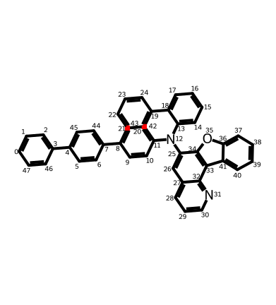 c1ccc(-c2ccc(-c3ccc(N(c4ccccc4-c4ccccc4)c4cc5cccnc5c5c4oc4ccccc45)cc3)cc2)cc1